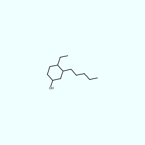 CCCCCC1CC(O)CCC1CC